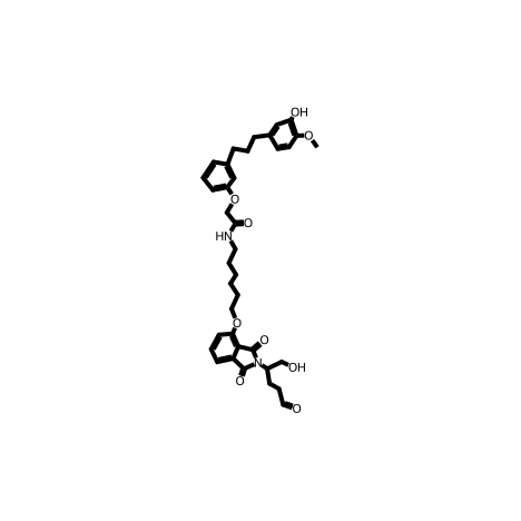 COc1ccc(CCCc2cccc(OCC(=O)NCCCCCCOc3cccc4c3C(=O)N(C(CO)CCC=O)C4=O)c2)cc1O